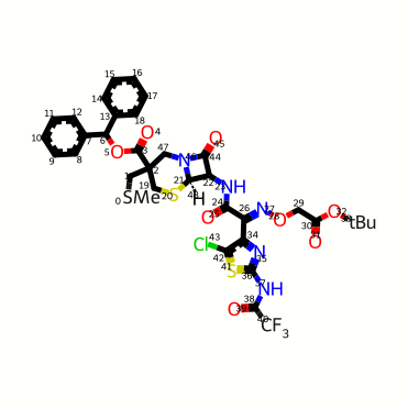 CSCC1(C(=O)OC(c2ccccc2)c2ccccc2)CS[C@@H]2C(NC(=O)C(=NOCC(=O)OC(C)(C)C)c3nc(NC(=O)C(F)(F)F)sc3Cl)C(=O)N2C1